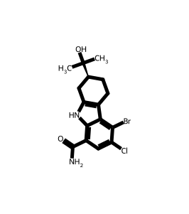 CC(C)(O)[C@H]1CCc2c([nH]c3c(C(N)=O)cc(Cl)c(Br)c23)C1